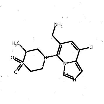 CC1CN(c2c(CN)cc(Cl)c3cncn23)CCS1(=O)=O